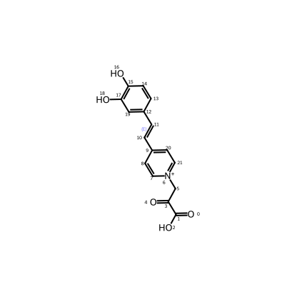 O=C(O)C(=O)C[n+]1ccc(/C=C/c2ccc(O)c(O)c2)cc1